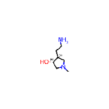 CN1C[C@H](CCN)[C@@H](O)C1